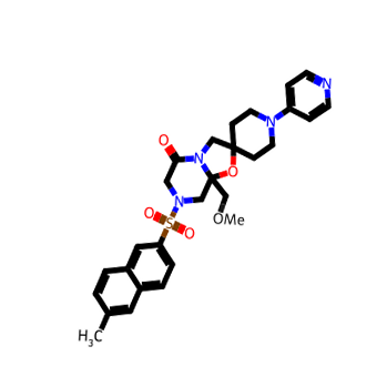 COCC12CN(S(=O)(=O)c3ccc4cc(C)ccc4c3)CC(=O)N1CC1(CCN(c3ccncc3)CC1)O2